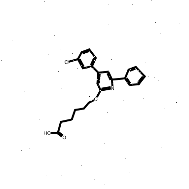 O=C(O)CCCCCOc1cc(-c2cccc(Cl)c2)cc(-c2ccccc2)n1